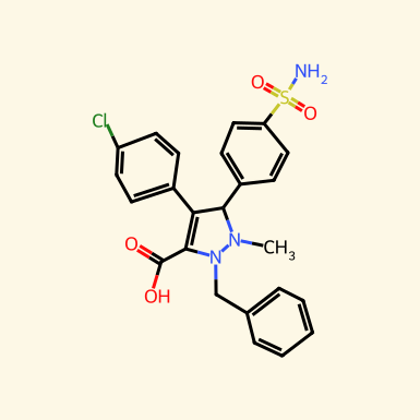 CN1C(c2ccc(S(N)(=O)=O)cc2)C(c2ccc(Cl)cc2)=C(C(=O)O)N1Cc1ccccc1